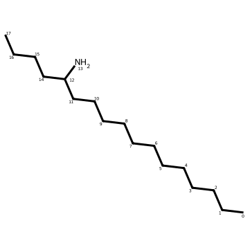 CCCCCCCCCCCCC(N)CCCC